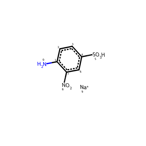 Nc1ccc(S(=O)(=O)O)cc1[N+](=O)[O-].[Na+]